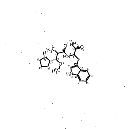 COC(C(C)C(=O)NC(Cc1c[nH]c2ccccc12)C(N)=O)[C@@H]1CCCN1